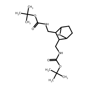 CC(C)(C)OC(=O)NCC1C2CCC(N2)C1CNC(=O)OC(C)(C)C